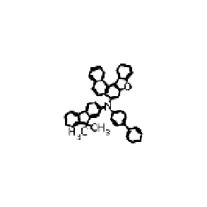 CC1(C)c2ccccc2-c2ccc(N(c3ccc(-c4ccccc4)cc3)c3cc4oc5ccccc5c4c4c3ccc3ccccc34)cc21